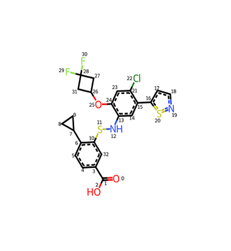 O=C(O)c1ccc(C2CC2)c(SNc2cc(-c3ccns3)c(Cl)cc2OC2CC(F)(F)C2)c1